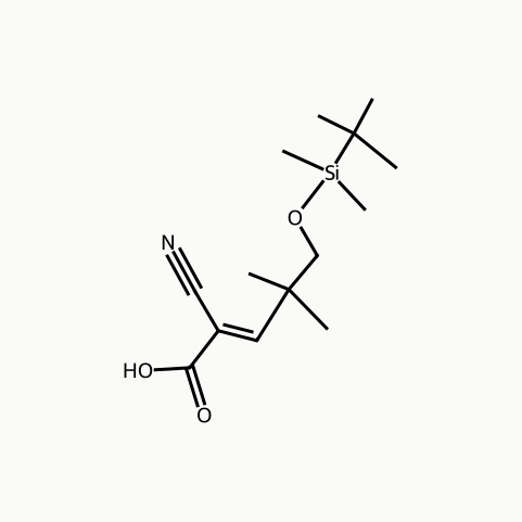 CC(C)(/C=C(\C#N)C(=O)O)CO[Si](C)(C)C(C)(C)C